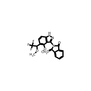 COc1c(C(OC)C(F)(F)F)ccc2[nH]nc(N3C(=O)c4ccccc4C3=O)c12